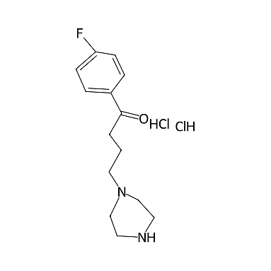 Cl.Cl.O=C(CCCN1CCNCC1)c1ccc(F)cc1